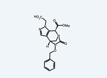 COC(=O)[C@@H]1c2c(cnn2CC(=O)O)[C@@H]2CN1C(=O)N2OCc1ccccc1